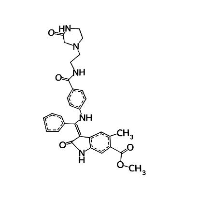 COC(=O)c1cc2c(cc1C)C(=C(Nc1ccc(C(=O)NCCN3CCNC(=O)C3)cc1)c1ccccc1)C(=O)N2